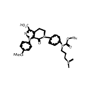 COc1ccc(-n2nc(C(=O)O)c3c2C(=O)N(c2ccc(N(CCCN(C)C)C(=O)OC(C)(C)C)cc2)CC3)cc1